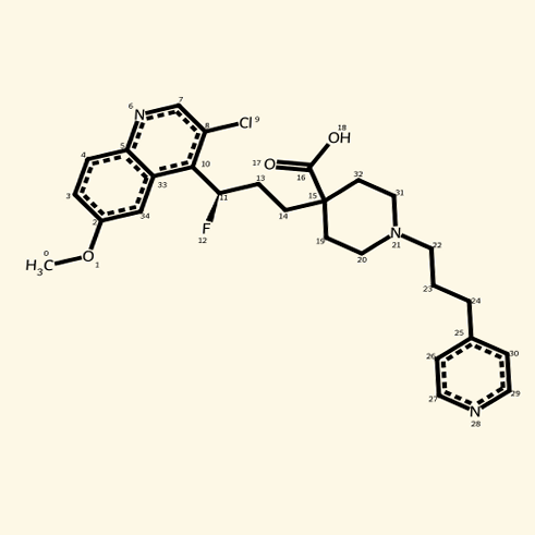 COc1ccc2ncc(Cl)c([C@H](F)CCC3(C(=O)O)CCN(CCCc4ccncc4)CC3)c2c1